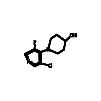 OC1CCN(c2c(F)cncc2Cl)CC1